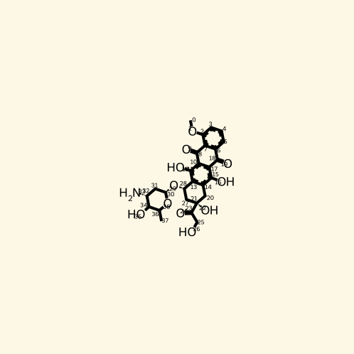 COc1cccc2c1C(=O)c1c(O)c3c(c(O)c1C2=O)C[C@@](O)(C(=O)CO)C[C@@H]3O[C@H]1C[C@@H](N)C(O)C(C)O1